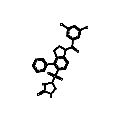 O=C1NCC(S(=O)(=O)c2ccc3c(c2-c2ccccc2)CCN3C(=O)c2cc(Cl)cc(Cl)c2)N1